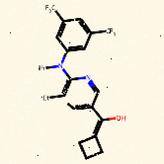 C\C=C(/C=N\C(=C\CC)N(c1cc(C(F)(F)F)cc(C(F)(F)F)c1)C(C)C)C(O)=C1CCC1